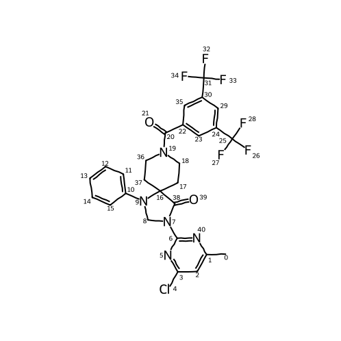 Cc1cc(Cl)nc(N2CN(c3ccccc3)C3(CCN(C(=O)c4cc(C(F)(F)F)cc(C(F)(F)F)c4)CC3)C2=O)n1